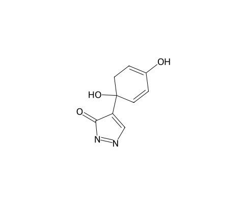 O=C1N=NC=C1C1(O)C=CC(O)=CC1